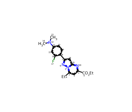 CCOC(=O)c1cc(CC)n2nc(-c3ccc(N(C)C)cc3F)cc2n1